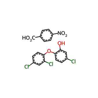 O=C(O)c1ccc([N+](=O)[O-])cc1.Oc1cc(Cl)ccc1Oc1ccc(Cl)cc1Cl